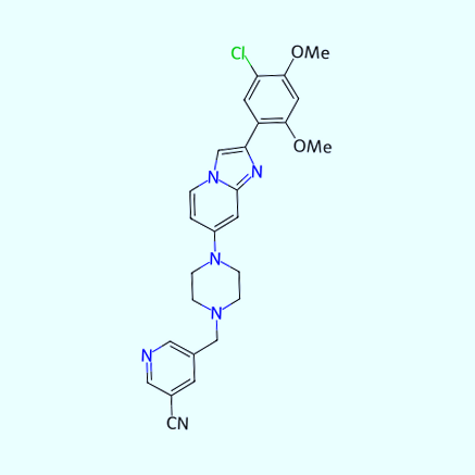 COc1cc(OC)c(-c2cn3ccc(N4CCN(Cc5cncc(C#N)c5)CC4)cc3n2)cc1Cl